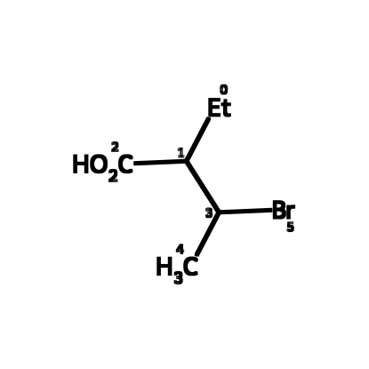 CCC(C(=O)O)C(C)Br